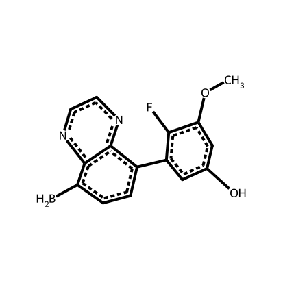 Bc1ccc(-c2cc(O)cc(OC)c2F)c2nccnc12